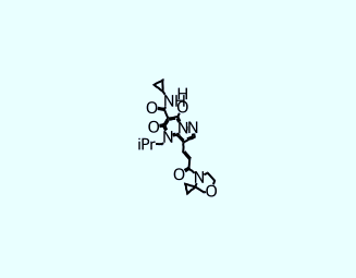 CC(C)Cn1c(=O)c(C(=O)NC2CC2)c(O)n2ncc(/C=C/C(=O)N3CCOCC34CC4)c12